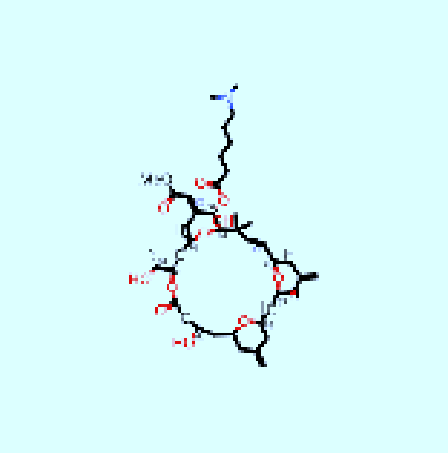 C=C1CC2C[C@@H](O)CC(=O)O[C@@H]([C@@H](C)O)C[C@@H]3C/C(=C\C(=O)OC)[C@H](OC(=O)CCCCCN(C)C)[C@@](O)(O3)C(C)(C)/C=C/[C@H]3CC(=C)C[C@@H](C[C@@H](C1)O2)O3